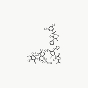 CC(C)=C1OC(=O)N(c2cc(OC3CCCC3)c(Cl)cc2F)C1=O.CC(C)Oc1cc(-n2nc(C(C)(C)C)oc2=O)c(Cl)cc1Cl.CC1=C(c2ccccc2)C(=O)N(C(C)(C)c2cc(Cl)cc(Cl)c2)CO1.Oc1c(Cl)c(Cl)c(Cl)c(Cl)c1Cl